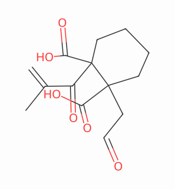 C=C(C)C(=O)C1(C(=O)O)CCCCC1(CC=O)C(=O)O